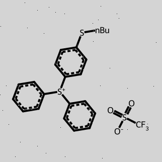 CCCCSc1ccc([S+](c2ccccc2)c2ccccc2)cc1.O=S(=O)([O-])C(F)(F)F